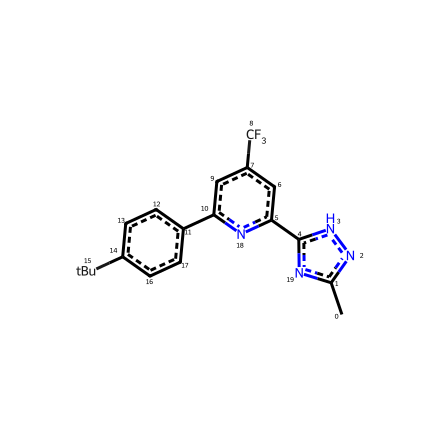 Cc1n[nH]c(-c2cc(C(F)(F)F)cc(-c3ccc(C(C)(C)C)cc3)n2)n1